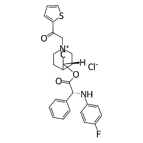 O=C(C[N+]12CCC(CC1)[C@@H](OC(=O)[C@H](Nc1ccc(F)cc1)c1ccccc1)C2)c1cccs1.[Cl-]